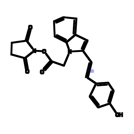 O=C(Cn1c(/C=C/c2ccc(O)cc2)cc2ccccc21)ON1C(=O)CCC1=O